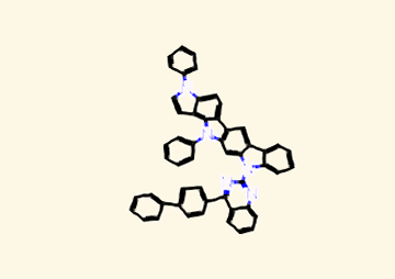 c1ccc(-c2ccc(-c3nc(-n4c5ccccc5c5cc6c7ccc8c(ccn8-c8ccccc8)c7n(-c7ccccc7)c6cc54)nc4ccccc34)cc2)cc1